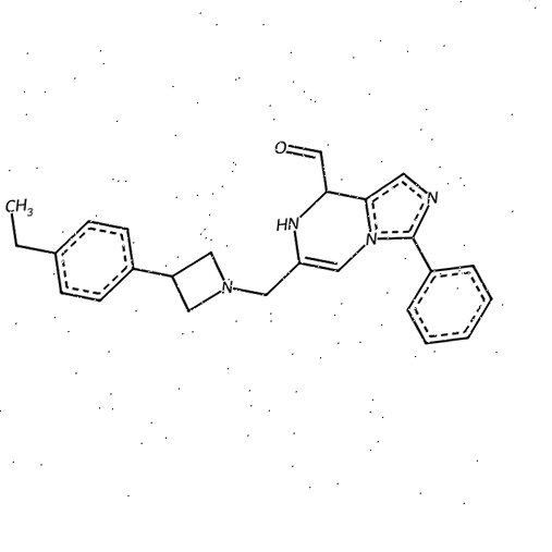 CCc1ccc(C2CN(CC3=Cn4c(cnc4-c4ccccc4)C(C=O)N3)C2)cc1